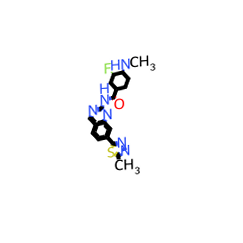 CN[C@H]1CCC(C(=O)Nc2ncc3ccc(-c4nnc(C)s4)cc3n2)C[C@@H]1F